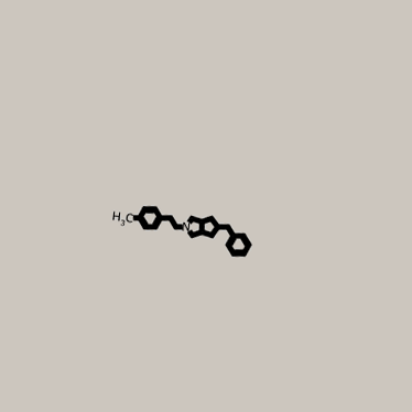 Cc1ccc(CCN2CC3CC(Cc4ccccc4)CC3C2)cc1